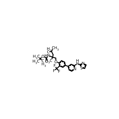 CC(C)CC(C)(COc1ccc(-c2ccnc(Nc3nccs3)c2)cc1C(F)(F)F)NC(=O)OC(C)(C)C